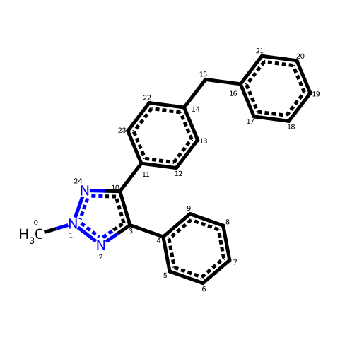 Cn1nc(-c2ccccc2)c(-c2ccc(Cc3ccccc3)cc2)n1